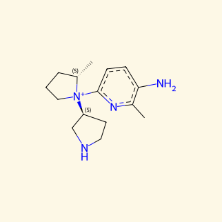 Cc1nc([N+]2([C@H]3CCNC3)CCC[C@@H]2C)ccc1N